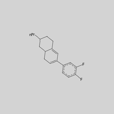 CCCC1CCC2=CC(c3ccc(F)c(F)c3)=CCC2C1